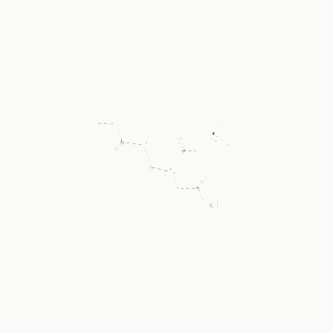 COC(=O)CCN(CC(=O)O)C(=O)OC(C)(C)C